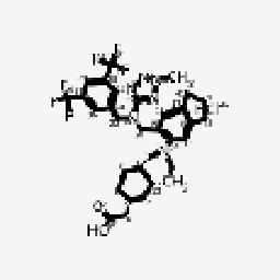 CCN(C[C@H]1CC[C@H](CC(=O)O)CC1)c1cc2c(cc1CN(Cc1cc(C(F)(F)F)cc(C(F)(F)F)c1)c1nnn(C)n1)CCC2.Cl